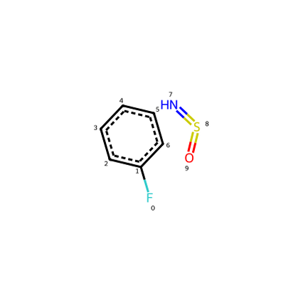 Fc1ccccc1.N=S=O